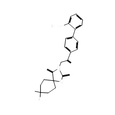 O=C(CN1C(=O)NC2(CCC(F)(F)CC2)C1=O)c1ccc(-c2ccccc2C(=O)O)cc1